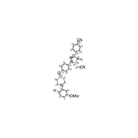 COc1ccc(F)c(N2CCC(Oc3ccc(N4N=C(c5ccc(C#N)cc5)[C@@H](C)[C@@H]4CC#N)cc3)CC2)c1